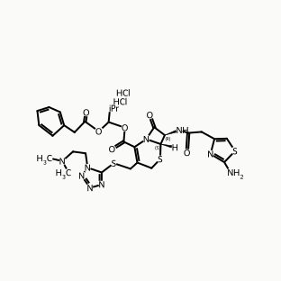 CC(C)C(OC(=O)Cc1ccccc1)OC(=O)C1=C(CSc2nnnn2CCN(C)C)CS[C@H]2[C@H](NC(=O)Cc3csc(N)n3)C(=O)N12.Cl.Cl